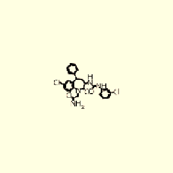 NC(=O)CN1C(=O)C(NC(=O)Nc2cccc(Cl)c2)CC(c2ccccc2)c2cc(Cl)ccc21